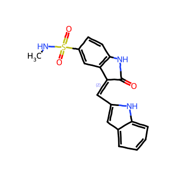 CNS(=O)(=O)c1ccc2c(c1)/C(=C/c1cc3ccccc3[nH]1)C(=O)N2